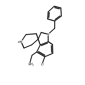 NCc1c(Cl)ccc2c1C1(CCNCC1)CN2Cc1ccccc1